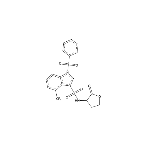 O=C1OCCC1NS(=O)(=O)c1cn(S(=O)(=O)c2ccccc2)c2cccc(C(F)(F)F)c12